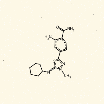 Cn1nc(-c2ccc(C(N)=O)c(N)c2)sc1=NC1CCCCC1